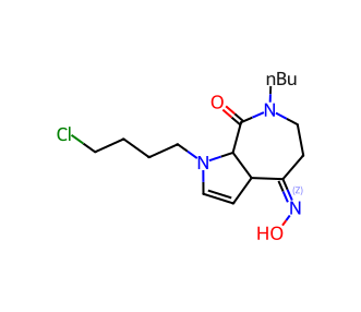 CCCCN1CC/C(=N/O)C2C=CN(CCCCCl)C2C1=O